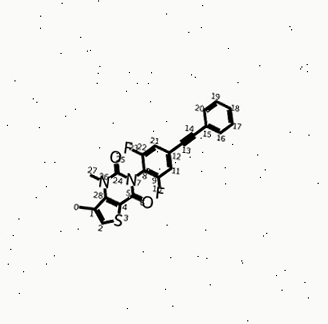 Cc1csc2c(=O)n(-c3c(F)cc(C#Cc4ccccc4)cc3F)c(=O)n(C)c12